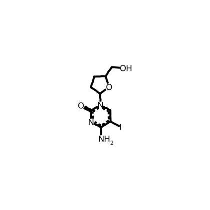 Nc1nc(=O)n(C2CCC(CO)O2)cc1I